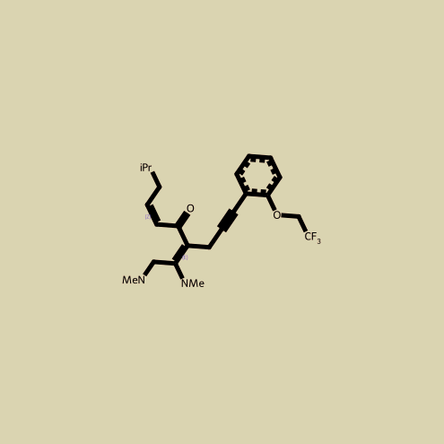 CNC/C(NC)=C(/CC#Cc1ccccc1OCC(F)(F)F)C(=O)/C=C\CC(C)C